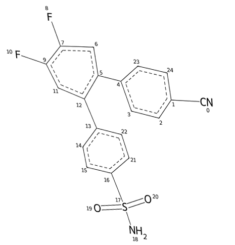 N#Cc1ccc(-c2cc(F)c(F)cc2-c2ccc(S(N)(=O)=O)cc2)cc1